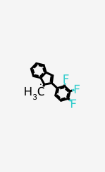 C[C]1C(c2ccc(F)c(F)c2F)=Cc2ccccc21